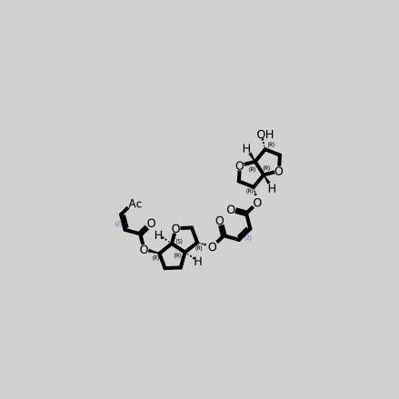 CC(=O)/C=C\C(=O)O[C@@H]1CC[C@H]2[C@@H]1OC[C@@H]2OC(=O)/C=C\C(=O)O[C@@H]1CO[C@H]2[C@@H]1OC[C@H]2O